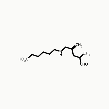 C=C(CNCCCCCC(=O)O)CC(C)C=O